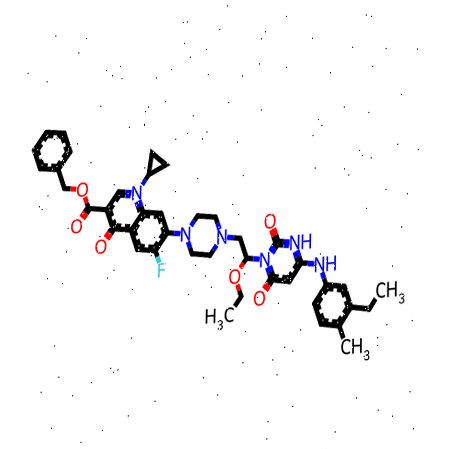 CCOC(CN1CCN(c2cc3c(cc2F)c(=O)c(C(=O)OCc2ccccc2)cn3C2CC2)CC1)n1c(=O)cc(Nc2ccc(C)c(CC)c2)[nH]c1=O